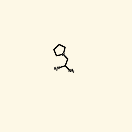 NC(N)CN1CCCC1